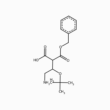 CC(C)(C)OC(CN)C(C(=O)O)C(=O)OCc1ccccc1